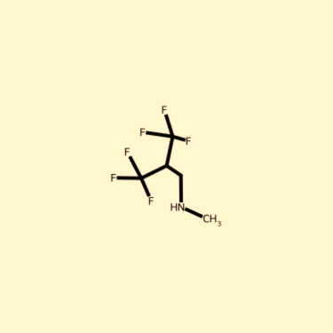 CNCC(C(F)(F)F)C(F)(F)F